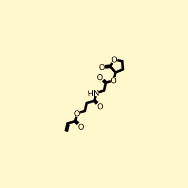 C=CC(=O)OCCC(=O)NCC(=O)OC1CCOC1=O